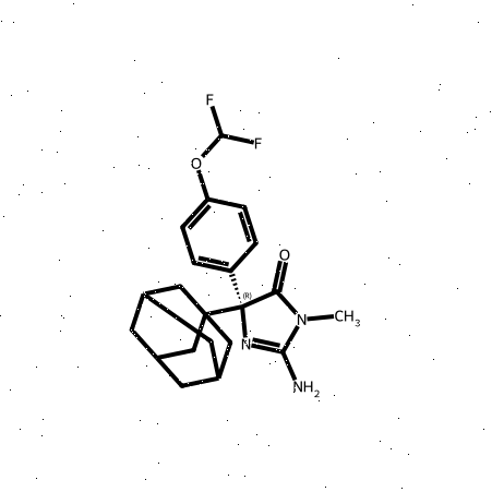 CN1C(=O)[C@](c2ccc(OC(F)F)cc2)(C23CC4CC(CC(C4)C2)C3)N=C1N